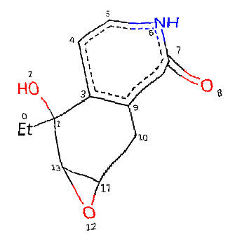 CCC1(O)c2cc[nH]c(=O)c2CC2OC21